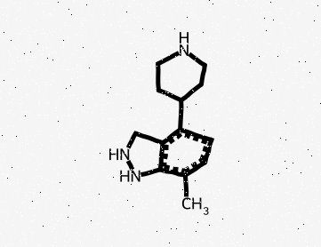 Cc1ccc(C2CCNCC2)c2c1NNC2